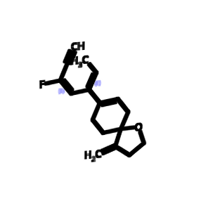 C#C/C(F)=C\C(=C/C)C1=CCC2(CC1)OCCC2=C